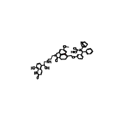 COc1cccc(CN(CCCNCC(O)c2ccc(O)c3[nH]c(=O)ccc23)C(=O)c2ccc(COc3cccc([C@H](c4ccccc4)N(C(=O)O)C4CN5CCC4CC5)c3)cc2)c1